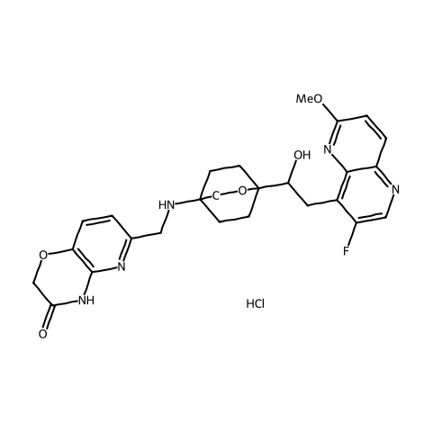 COc1ccc2ncc(F)c(CC(O)C34CCC(NCc5ccc6c(n5)NC(=O)CO6)(CC3)CO4)c2n1.Cl